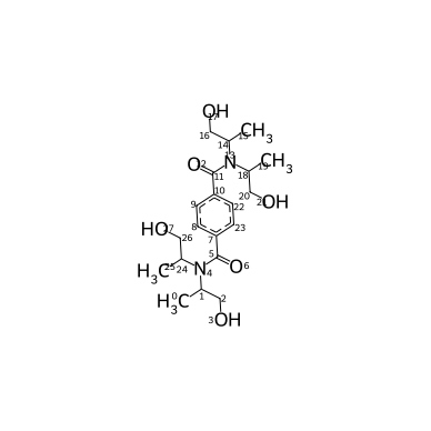 CC(CO)N(C(=O)c1ccc(C(=O)N(C(C)CO)C(C)CO)cc1)C(C)CO